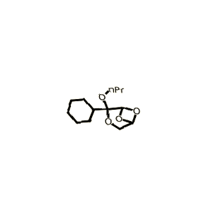 CCCOC1(C2CCCCC2)OCC2OC1O2